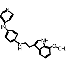 COc1cccc2c(CCNc3ccc(Nc4ccncc4)cc3)c[nH]c12